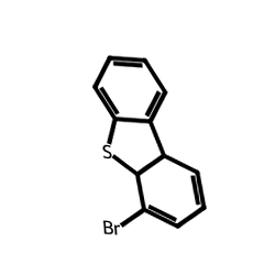 BrC1=CC=CC2c3ccccc3SC12